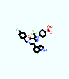 O=C(c1cnn([C@H]2CC[C@H](C(=O)O)CC2)c1C(F)(F)F)N(CCc1cccc2[nH]ccc12)Cc1ccc(Cl)cc1